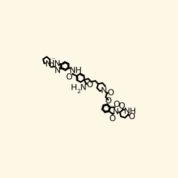 C[C@H]1CCCN1Cc1nc2cc(NC(=O)C3=CCC(CCCC4CCN(C(=O)COc5cccc6c5C(=O)N(C5CCC(=O)NC5=O)C6=O)CC4)(C(N)=O)C=C3)ccc2[nH]1